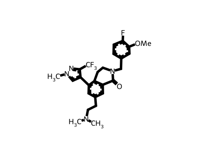 COc1cc(CN2CCc3c(cc(CCN(C)C)cc3-c3cn(C)nc3C(F)(F)F)C2=O)ccc1F